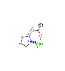 CCC(=O)OC1CCCN1.Cl